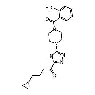 Cc1ccccc1C(=O)N1CCN(c2nnc(C(=O)CCCC3CC3)[nH]2)CC1